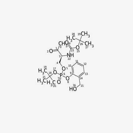 CC(=O)[C@H](COP(=O)(Oc1ccccc1CO)OC(C)(C)C)NC(=O)OC(C)(C)C